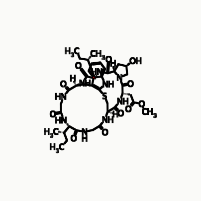 CC[C@H](C)[C@@H]1NC(=O)CNC(=O)[C@@H]2Cc3c([nH]c4ccccc34)SC[C@H](NC(=O)CNC1=O)C(=O)N[C@@H](CC(=O)OC)C(=O)N1C[C@H](O)C[C@H]1C(=O)N[C@@H]([C@@H](C)CC)C(=O)N2